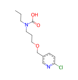 CCCN(CCCOCc1ccc(Cl)nc1)C(=O)O